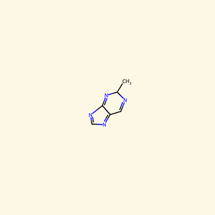 C[C]1N=CC2=NC=NC2=N1